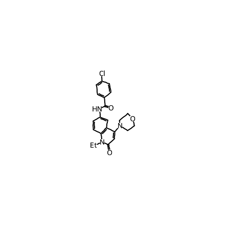 CCn1c(=O)cc(N2CCOCC2)c2cc(NC(=O)c3ccc(Cl)cc3)ccc21